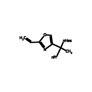 C=Cc1nc(C(C)(CCC)CCCCCC)co1